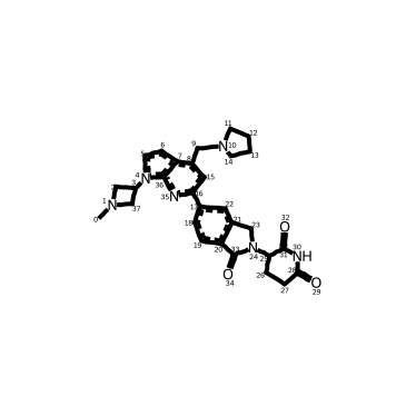 CN1CC(n2ccc3c(CN4CCCC4)cc(-c4ccc5c(c4)CN(C4CCC(=O)NC4=O)C5=O)nc32)C1